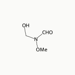 CON(C=O)CO